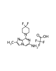 Cc1cn2cc(N)nc(N3CCC(F)(F)CC3)c2n1.O=C(O)C(F)(F)F